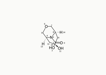 O=C(O)N1[C@@H]2COC[C@H]1C[C@@H](O)C2